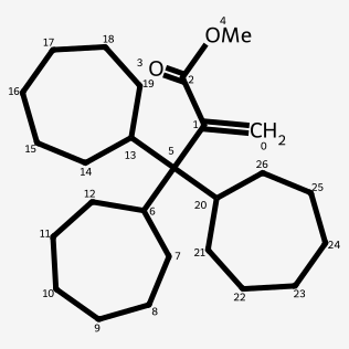 C=C(C(=O)OC)C(C1CCCCCC1)(C1CCCCCC1)C1CCCCCC1